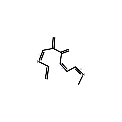 C=C/N=C\C(=C)C(=C)/C=C\C=N/C